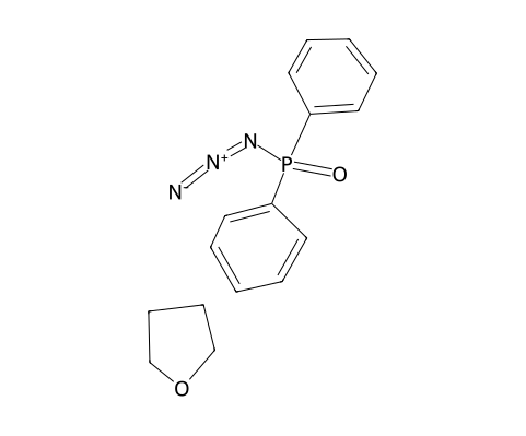 C1CCOC1.[N-]=[N+]=NP(=O)(c1ccccc1)c1ccccc1